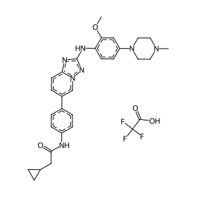 COc1cc(N2CCN(C)CC2)ccc1Nc1nc2ccc(-c3ccc(NC(=O)CC4CC4)cc3)cn2n1.O=C(O)C(F)(F)F